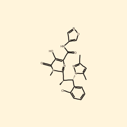 Cc1cc(C)n([C@H](c2ccccc2Cl)[C@@H](C)c2nc(C(=O)Nc3cnoc3)c(O)c(=O)n2C)n1